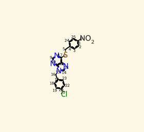 O=[N+]([O-])c1ccc(CSc2ncnc3c2ncn3Cc2ccc(Cl)cc2)cc1